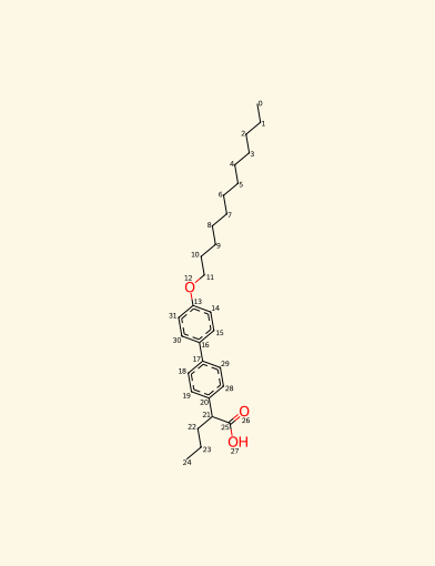 CCCCCCCCCCCCOc1ccc(-c2ccc(C(CCC)C(=O)O)cc2)cc1